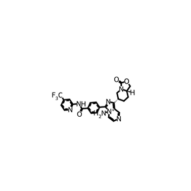 N[N+]12C=CN=CC1=C([C@H]1CC[C@H]3COC(=O)N3C1)N=C2c1ccc(C(=O)Nc2cc(C(F)(F)F)ccn2)cc1